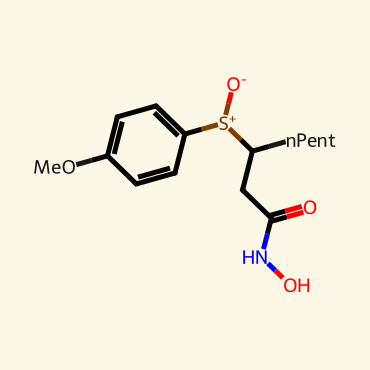 CCCCCC(CC(=O)NO)[S+]([O-])c1ccc(OC)cc1